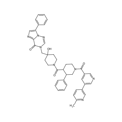 Cc1ccc(-c2cncc(C(=O)N3CCC(C(=O)N4CCC(O)(Cn5cnn6c(-c7ccccc7)cnc6c5=O)CC4)C(c4ccccc4)C3)c2)cn1